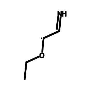 CCO[CH]C=N